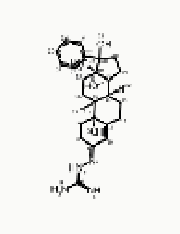 C[C@]12CCC(=NNC(=N)N)C=C1CC[C@@H]1[C@H]2CC[C@]2(C)C(O)(c3ccccc3)CC[C@@]12O